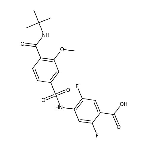 COc1cc(S(=O)(=O)Nc2cc(F)c(C(=O)O)cc2F)ccc1C(=O)NC(C)(C)C